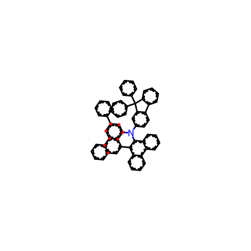 c1ccc(-c2cc(-c3ccccc3)cc(N(c3ccc4c(c3)C(c3ccccc3)(c3ccccc3)c3ccccc3-4)c3c(-c4cccc5ccccc45)c4ccccc4c4ccccc34)c2)cc1